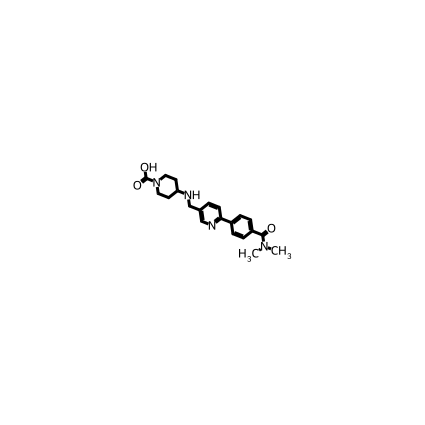 CN(C)C(=O)c1ccc(-c2ccc(CNC3CCN(C(=O)O)CC3)cn2)cc1